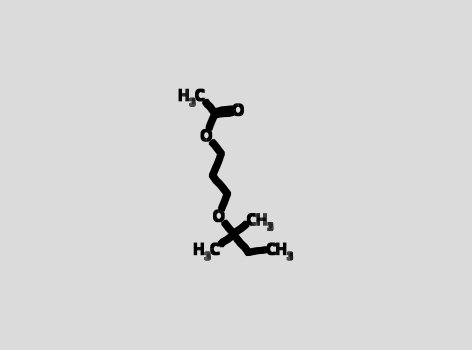 CCC(C)(C)OCCCOC(C)=O